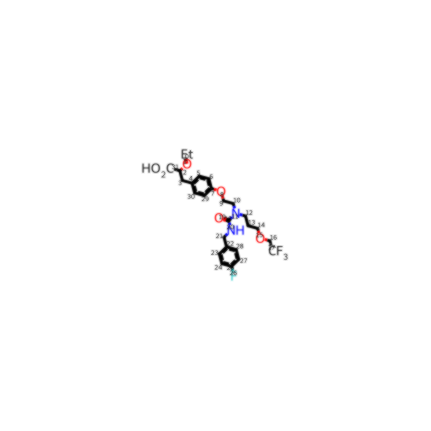 CCOC(Cc1ccc(OCCN(CCCOCC(F)(F)F)C(=O)NCc2ccc(F)cc2)cc1)C(=O)O